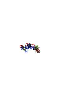 COc1cc(-c2cc(C(=O)N3CC[C@H](C(=O)NC4CCC(OC[C@@H](C)OC)(C(F)(F)F)CC4)CC34CC4)n[nH]2)c(F)cn1